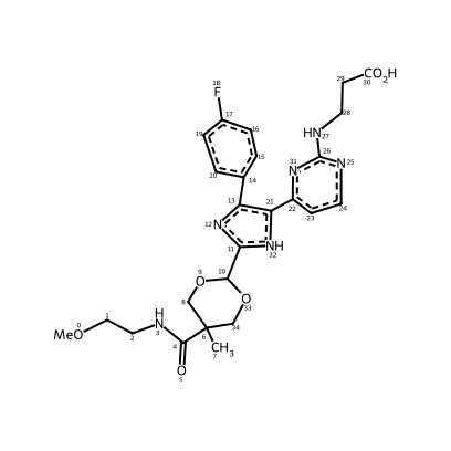 COCCNC(=O)C1(C)COC(c2nc(-c3ccc(F)cc3)c(-c3ccnc(NCCC(=O)O)n3)[nH]2)OC1